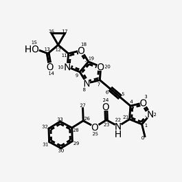 Cc1noc(C#Cc2nc3nc(C4(C(=O)O)CC4)oc3o2)c1NC(=O)OC(C)c1ccccc1